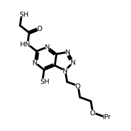 CC(C)OCCOCn1nnc2nc(NC(=O)CS)nc(S)c21